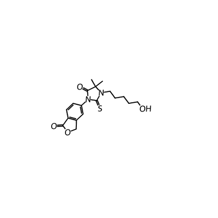 CC1(C)C(=O)N(c2ccc3c(c2)COC3=O)C(=S)N1CCCCCO